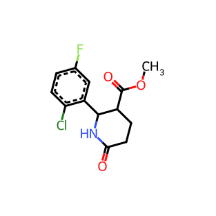 COC(=O)C1CCC(=O)NC1c1cc(F)ccc1Cl